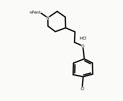 CCCCCN1CCC(CCOc2ccc(Cl)cc2)CC1.Cl